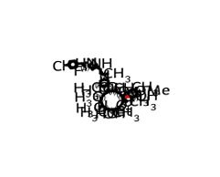 CC[C@H]1OC(=O)[C@H](C)[C@@H](O[C@H]2C[C@@](C)(OC)[C@@H](O)[C@H](C)O2)[C@H](C)[C@@H](O[C@H]2C[C@@H](N(C)CCC3=CN([C@H](CF)Cc4ccc(Cl)cc4)NN3)C[C@@H](C)O2)[C@](C)(O)C[C@@H](C)CN(C)[C@H](C)[C@@H](O)[C@]1(C)O